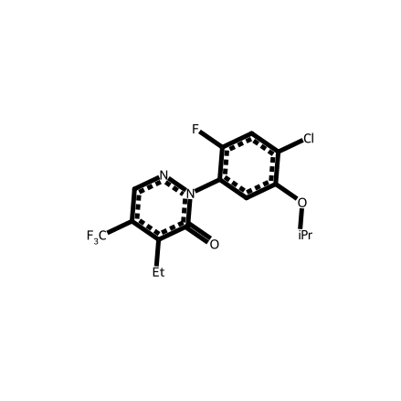 CCc1c(C(F)(F)F)cnn(-c2cc(OC(C)C)c(Cl)cc2F)c1=O